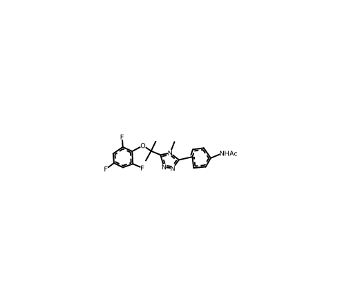 CC(=O)Nc1ccc(-c2nnc(C(C)(C)Oc3c(F)cc(F)cc3F)n2C)cc1